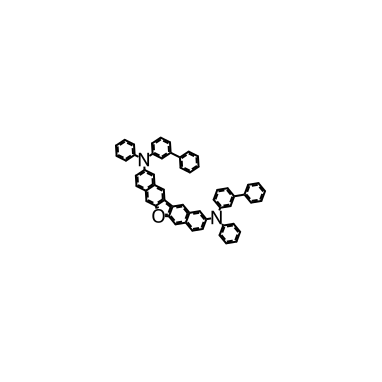 c1ccc(-c2cccc(N(c3ccccc3)c3ccc4cc5oc6cc7ccc(N(c8ccccc8)c8cccc(-c9ccccc9)c8)cc7cc6c5cc4c3)c2)cc1